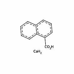 O=C(O)c1cccc2ccccc12.[CaH2]